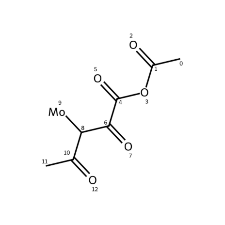 CC(=O)OC(=O)C(=O)[CH]([Mo])C(C)=O